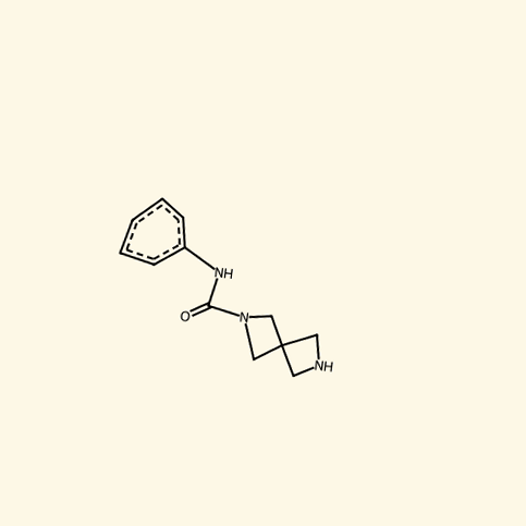 O=C(Nc1ccccc1)N1CC2(CNC2)C1